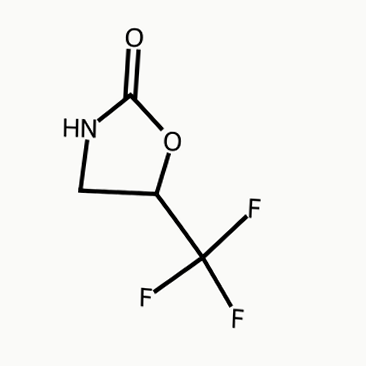 O=C1NCC(C(F)(F)F)O1